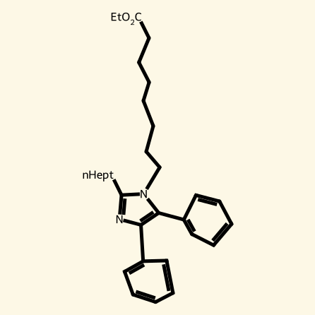 CCCCCCCc1nc(-c2ccccc2)c(-c2ccccc2)n1CCCCCCCC(=O)OCC